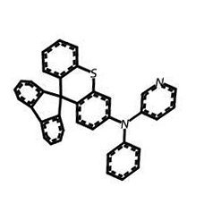 c1ccc(N(c2cccnc2)c2ccc3c(c2)Sc2ccccc2C32c3ccccc3-c3ccccc32)cc1